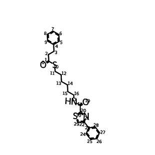 O=C(CCc1ccccc1)SCCCCCCNC(=O)c1nc(-c2ccccc2)cs1